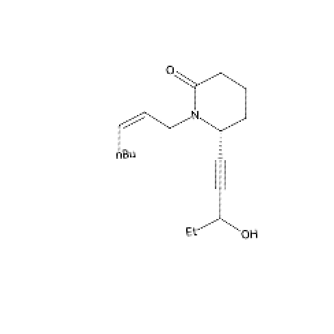 CCCC/C=C\CN1C(=O)CCC[C@@H]1C#CC(O)CC